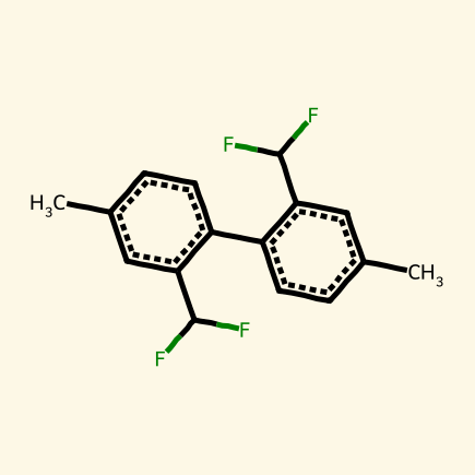 Cc1ccc(-c2ccc(C)cc2C(F)F)c(C(F)F)c1